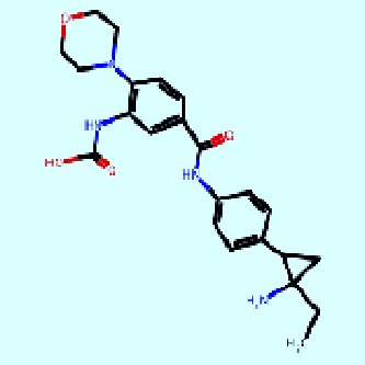 CCC1(N)CC1c1ccc(NC(=O)c2ccc(N3CCOCC3)c(NC(=O)O)c2)cc1